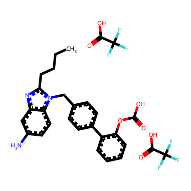 CCCCc1nc2cc(N)ccc2n1Cc1ccc(-c2ccccc2OC(=O)O)cc1.O=C(O)C(F)(F)F.O=C(O)C(F)(F)F